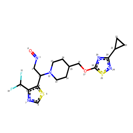 O=NCC(c1scnc1C(F)F)N1CCC(COc2nc(C3CC3)ns2)CC1